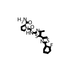 Cc1nc(NC(=O)N2CCC[C@H]2C(N)=O)sc1-c1csc(-c2ccccc2F)n1